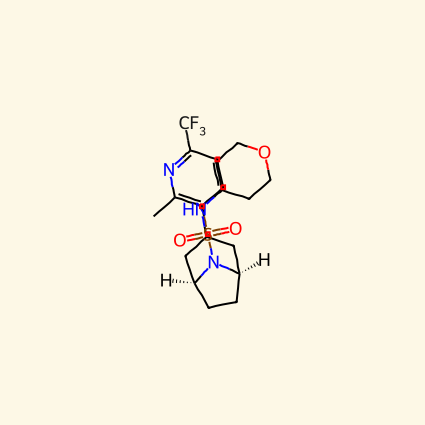 Cc1nc(C(F)(F)F)ccc1S(=O)(=O)N1[C@@H]2CC[C@H]1CC(NC1CCOCC1)C2